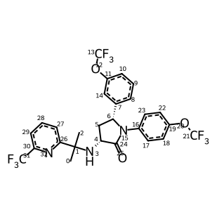 CC(C)(N[C@@H]1C[C@H](c2cccc(OC(F)(F)F)c2)N(c2ccc(OC(F)(F)F)cc2)C1=O)c1cccc(C(F)(F)F)n1